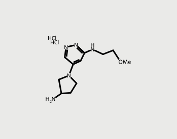 COCCNc1cc(N2CCC(N)C2)cnn1.Cl.Cl